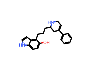 Oc1ccc2[nH]ccc2c1CCCC1CC(c2ccccc2)=CCN1